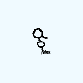 CCCCCCN1CCN(c2cccccc2=O)CC1